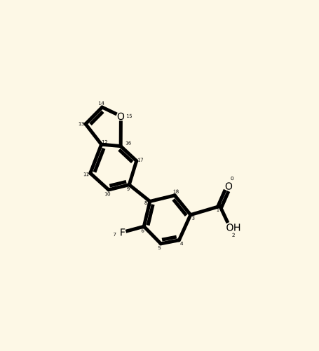 O=C(O)c1ccc(F)c(-c2ccc3ccoc3c2)c1